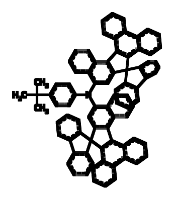 CC(C)(C)c1ccc(N(c2cc3c(c4ccccc24)-c2c(c4ccccc4c4ccccc24)C32c3ccccc3-c3ccccc32)c2cc3c(c4ccccc24)-c2c(c4ccccc4c4ccccc24)C32c3ccccc3-c3ccccc32)cc1